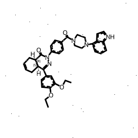 CCOc1ccc(C2=NN(c3ccc(C(=O)N4CCN(c5cccc6[nH]ccc56)CC4)cc3)C(=O)[C@@H]3CC=CC[C@H]23)cc1OCC